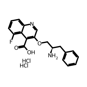 Cl.Cl.N[C@@H](COc1cnc2cccc(F)c2c1C(=O)O)Cc1ccccc1